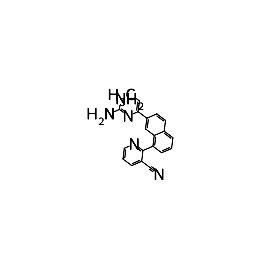 C/C=C(\N=C(N)N)c1ccc2cccc(-c3ncccc3C#N)c2c1